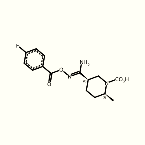 C[C@H]1CC[C@@H](C(N)=NOC(=O)c2ccc(F)cc2)CN1C(=O)O